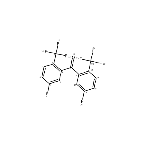 O=C(c1cc(F)ccc1C(F)(F)F)c1cc(F)ccc1C(F)(F)F